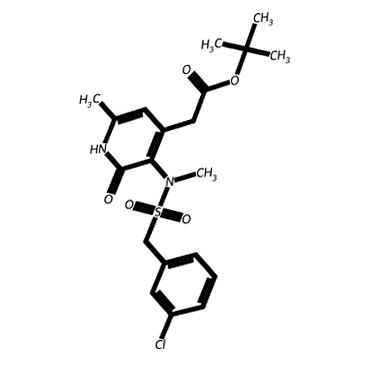 Cc1cc(CC(=O)OC(C)(C)C)c(N(C)S(=O)(=O)Cc2cccc(Cl)c2)c(=O)[nH]1